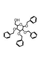 OCC1OC(OCc2ccccc2)C(OCc2ccccc2)C(OCc2ccccc2)C1OCc1ccccc1